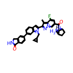 Cc1c(-c2cc3ccc(-c4ccc5c(c4)CNC5=O)cc3n2CC2CC2)nn2cc(C(=O)N3CC4CCC3[C@@H]4N)cc(F)c12